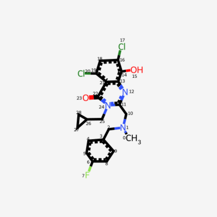 CN(Cc1ccc(F)cc1)Cc1nc2c(O)c(Cl)cc(Cl)c2c(=O)n1CC1CC1